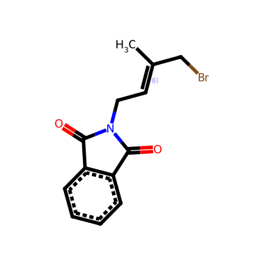 C/C(=C\CN1C(=O)c2ccccc2C1=O)CBr